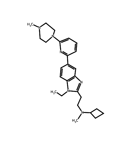 CCn1c(CCN(C)C2CCC2)nc2cc(-c3cccc(N4CCN(C)CC4)n3)ccc21